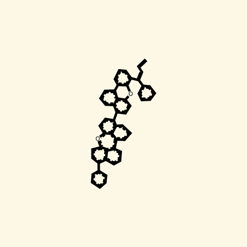 C=C/C=C(/c1ccccc1)c1cccc2c1Oc1ccc(-c3ccc4oc5ccc(-c6ccccc6)c6cccc(c7cccc3c47)c56)c3cccc-2c13